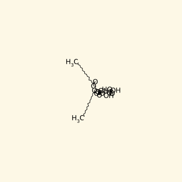 CCCCCCCCCCCCCCCC(=O)OC[C@H](COP(=O)(O)OC[C@@H](O)COP(=O)(O)O)OC(=O)CCCCCCCCCCCCCCC